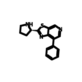 c1ccc(-c2cncc3sc([C@@H]4CCCN4)nc23)cc1